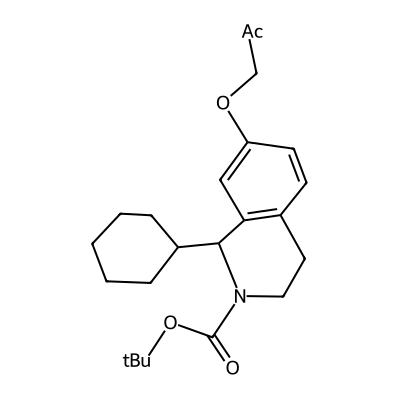 CC(=O)COc1ccc2c(c1)C(C1CCCCC1)N(C(=O)OC(C)(C)C)CC2